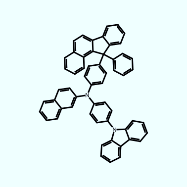 c1ccc(C2(c3ccc(N(c4ccc(-n5c6ccccc6c6ccccc65)cc4)c4ccc5ccccc5c4)cc3)c3ccccc3-c3ccc4ccccc4c32)cc1